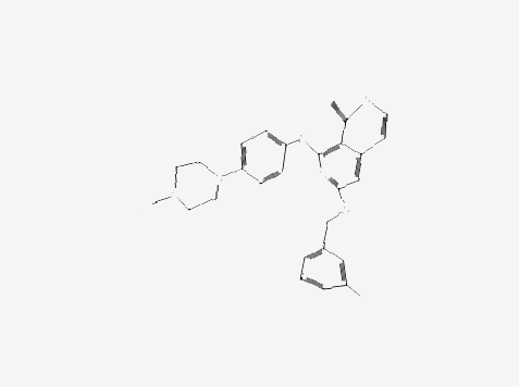 CN1CCN(c2ccc(Nc3nc(NCc4cccc(Cl)c4)cc4cc[nH]c(=O)c34)cc2)CC1